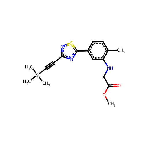 COC(=O)CNc1cc(-c2nc(C#C[Si](C)(C)C)ns2)ccc1C